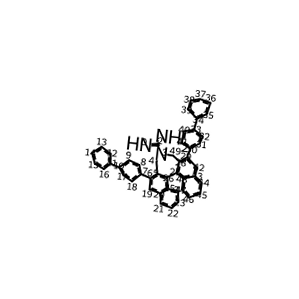 N=C(N)N1Cc2c(-c3ccc(-c4ccccc4)cc3)cc3ccccc3c2-c2c(c(-c3ccc(-c4ccccc4)cc3)cc3ccccc23)C1